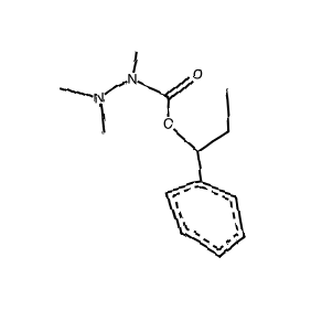 CCC(OC(=O)N(C)N(C)C)c1ccccc1